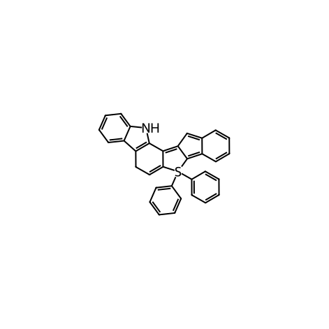 C1=C2C(=C3C=c4ccccc4=C3S2(c2ccccc2)c2ccccc2)c2[nH]c3ccccc3c2C1